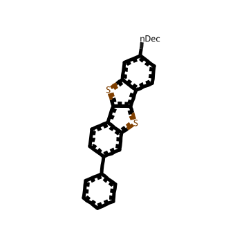 CCCCCCCCCCc1ccc2c(c1)sc1c3ccc(-c4ccccc4)cc3sc21